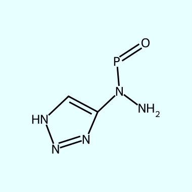 NN(P=O)c1c[nH]nn1